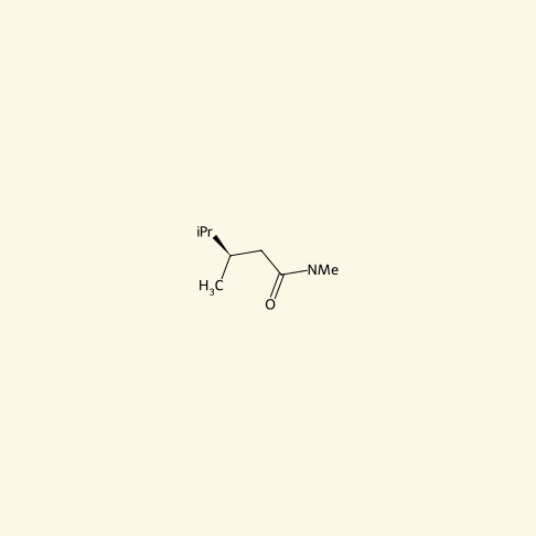 CNC(=O)C[C@@H](C)C(C)C